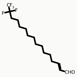 O=CC=CCCCCCCCCCCCC(F)(F)C(F)(F)F